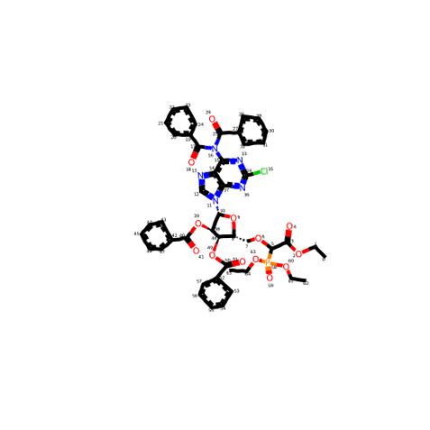 CCOC(=O)C(OC[C@H]1O[C@@H](n2cnc3c(N(C(=O)c4ccccc4)C(=O)c4ccccc4)nc(Cl)nc32)[C@H](OC(=O)c2ccccc2)[C@@H]1OC(=O)c1ccccc1)P(=O)(OCC)OCC